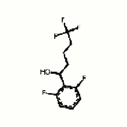 OC(CCCC(F)(F)F)c1c(F)cccc1F